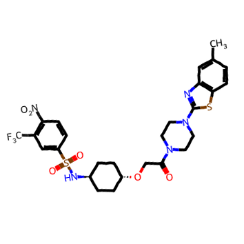 Cc1ccc2sc(N3CCN(C(=O)CO[C@H]4CC[C@H](NS(=O)(=O)c5ccc([N+](=O)[O-])c(C(F)(F)F)c5)CC4)CC3)nc2c1